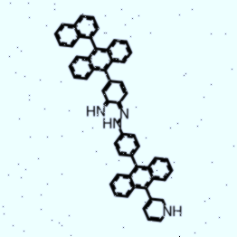 N=C1C=C(c2c3ccccc3c(-c3cccc4ccccc34)c3ccccc23)C=C/C1=N/Nc1ccc(-c2c3ccccc3c(C3=CC=CNC3)c3ccccc23)cc1